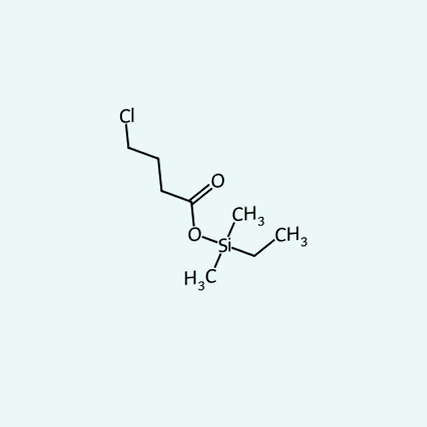 CC[Si](C)(C)OC(=O)CCCCl